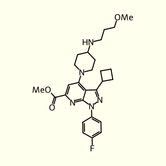 COCCCNC1CCN(c2cc(C(=O)OC)nc3c2c(C2CCC2)nn3-c2ccc(F)cc2)CC1